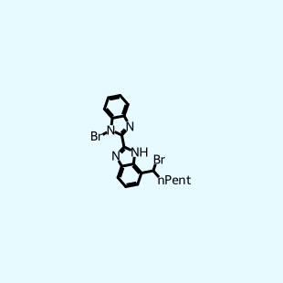 CCCCCC(Br)c1cccc2nc(-c3nc4ccccc4n3Br)[nH]c12